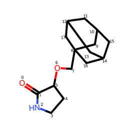 O=C1NCCC1OCC12CC3CC(CC(C3)C1)C2